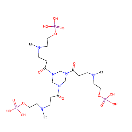 CCN(CCOP(=O)(O)O)CCC(=O)N1CN(C(=O)CCN(CC)CCOP(=O)(O)O)CN(C(=O)CCN(CC)CCOP(=O)(O)O)C1